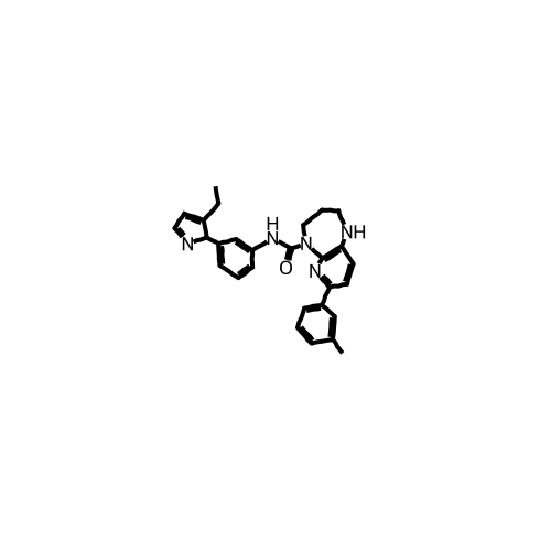 CCC1=CC=NC1c1cccc(NC(=O)N2CCCNc3ccc(-c4cccc(C)c4)nc32)c1